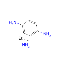 CCC.N.Nc1ccc(N)cc1